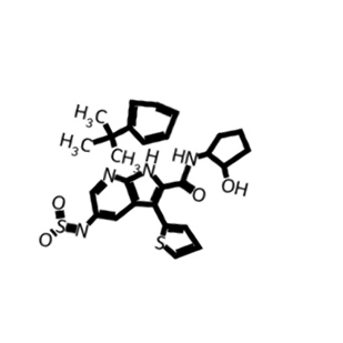 CC(C)(C)c1ccccc1.O=C(NC1CCCC1O)c1[nH]c2ncc(N=S(=O)=O)cc2c1-c1cccs1